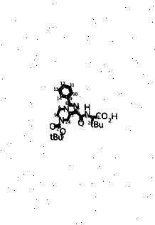 CC(C)(C)OC(=O)N1CCn2c(-c3ccccc3)nc(C(=O)NC(C(=O)O)C(C)(C)C)c2C1